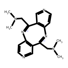 CN(C)C/C1=N/c2ccncc2/C(CN(C)C)=N\c2ccncc21